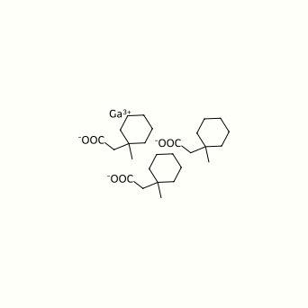 CC1(CC(=O)[O-])CCCCC1.CC1(CC(=O)[O-])CCCCC1.CC1(CC(=O)[O-])CCCCC1.[Ga+3]